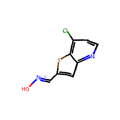 O/N=C/c1cc2nccc(Cl)c2s1